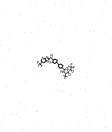 CC(C)(C)[C@H](NC(=O)c1ccc(-c2ccc(Nc3nc4ncc(C(F)(F)F)cc4s3)c(F)c2)cc1)C(=O)OC(=O)C(F)(F)F